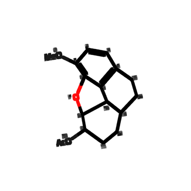 COc1ccc2c3c1OC1C(OC(C)=O)CCC(CC2)C31